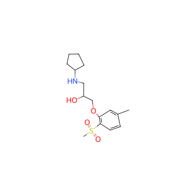 Cc1ccc(S(C)(=O)=O)c(OCC(O)CNC2CCCC2)c1